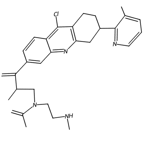 C=C(c1ccc2c(Cl)c3c(nc2c1)CC(c1ncccc1C)CC3)C(C)CN(CCNC)C(=C)C